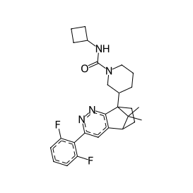 CC1(C)C2CCC1(C1CCCN(C(=O)NC3CCC3)C1)c1nnc(-c3c(F)cccc3F)cc12